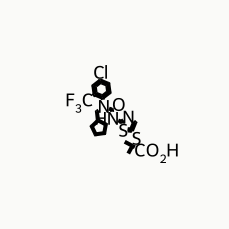 CC(C)(Sc1cnc(NC(=O)N(CC2CCCC2)c2ccc(Cl)cc2C(F)(F)F)s1)C(=O)O